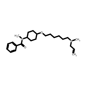 C=CCN(C)CCCCCCOC1CCC(N(C)C(=O)c2ccccc2)CC1